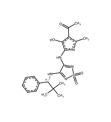 CC(=O)c1c(O)c(NC2=NS(=O)(=O)N=C2N[C@@H](c2ccccc2)C(C)(C)C)nn1C